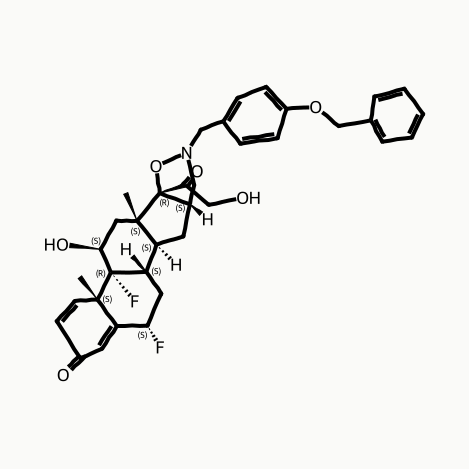 C[C@]12C=CC(=O)C=C1[C@@H](F)C[C@H]1[C@@H]3C[C@H]4CN(Cc5ccc(OCc6ccccc6)cc5)O[C@@]4(C(=O)CO)[C@@]3(C)C[C@H](O)[C@@]12F